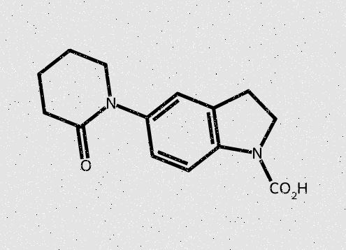 O=C1CCCCN1c1ccc2c(c1)CCN2C(=O)O